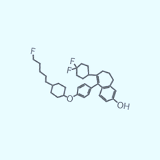 Oc1ccc2c(c1)CCCC(C1CCC(F)(F)CC1)=C2c1ccc(OC2CCC(CCCCCF)CC2)cc1